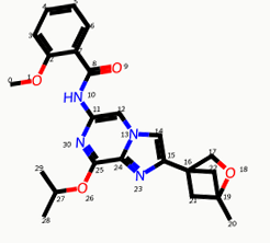 COc1ccccc1C(=O)Nc1cn2cc(C34COC(C)(C3)C4)nc2c(OC(C)C)n1